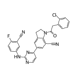 N#Cc1cc(Nc2nccc(-c3cc(C#N)c4c(c3)CCN4C(=O)Cc3ccccc3Cl)n2)ccc1F